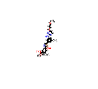 CCC1(C(=O)O)CCC(O)(c2ncc(-c3cc(C)cc(Nc4nccc(OCCCOC)n4)c3)s2)CC1C